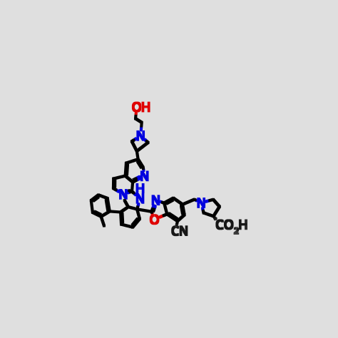 Cc1ccccc1C1=CC=CC(Nc2nccc3cc(C4CN(CCO)C4)cnc23)(c2nc3cc(CN4CC[C@@H](C(=O)O)C4)cc(C#N)c3o2)C1C